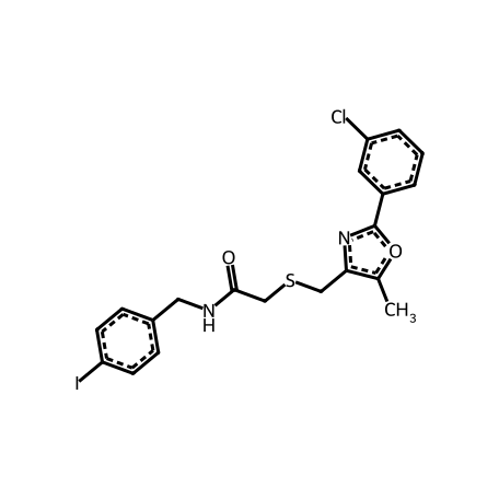 Cc1oc(-c2cccc(Cl)c2)nc1CSCC(=O)NCc1ccc(I)cc1